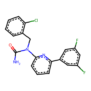 NC(=O)N(Cc1ccccc1Cl)c1cccc(-c2cc(F)cc(F)c2)n1